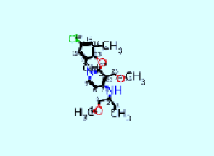 CCC(COC)Nc1ccnc(Oc2c(C)cc(Cl)cc2C)c1COC